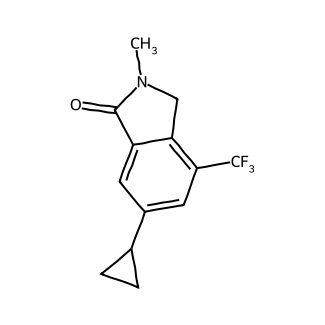 CN1Cc2c(cc(C3CC3)cc2C(F)(F)F)C1=O